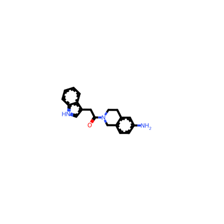 Nc1ccc2c(c1)CCN(C(=O)Cc1c[nH]c3ccccc13)C2